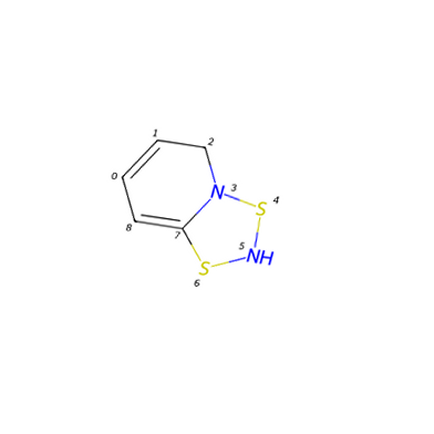 C1=CCN2SNSC2=C1